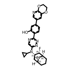 Oc1cc(-c2cnc3c(c2)OCCO3)ccc1-c1ncc(N(C2CC2)[C@H]2C[C@@H]3CCC[C@@H](N3)[C@H]2F)nn1